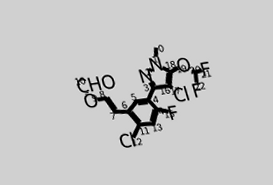 Cn1nc(-c2cc(C=COC=O)c(Cl)cc2F)c(Cl)c1OC(F)F